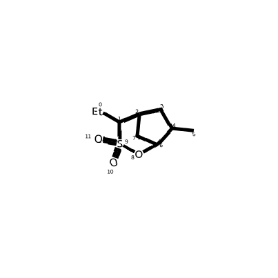 CCC1C2CC(C)C(C2)OS1(=O)=O